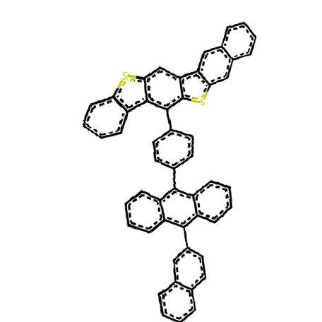 c1ccc2cc(-c3c4ccccc4c(-c4ccc(-c5c6sc7cc8ccccc8cc7c6cc6sc7ccccc7c56)cc4)c4ccccc34)ccc2c1